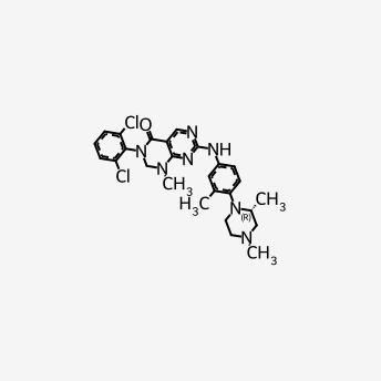 Cc1cc(Nc2ncc3c(n2)N(C)CN(c2c(Cl)cccc2Cl)C3=O)ccc1N1CCN(C)C[C@H]1C